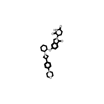 O=C1CCC(N2Cc3cc(O[C@H]4CCCC[C@H]4N4CC(c5ccc(N6CCOCC6)cc5)C4)ccc3C2=O)C(=O)N1